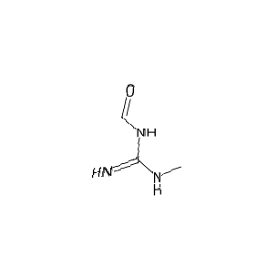 CNC(=N)NC=O